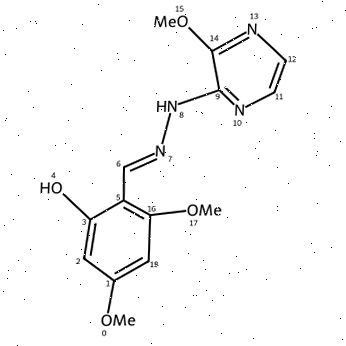 COc1cc(O)c(C=NNc2nccnc2OC)c(OC)c1